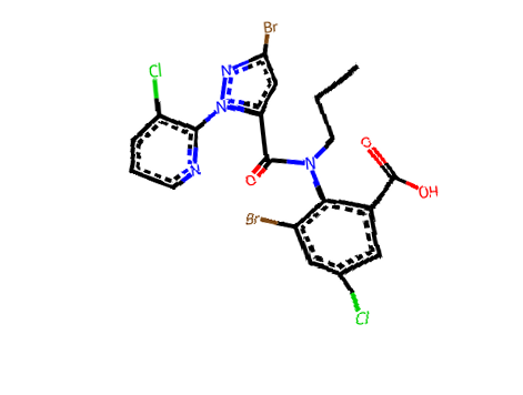 CCCN(C(=O)c1cc(Br)nn1-c1ncccc1Cl)c1c(Br)cc(Cl)cc1C(=O)O